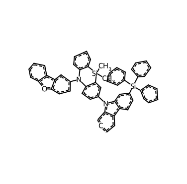 C[Si]1(C)c2ccccc2N(c2ccc3oc4ccccc4c3c2)c2ccc(-n3c4ccccc4c4ccc([Si](c5ccccc5)(c5ccccc5)c5ccccc5)cc43)cc21